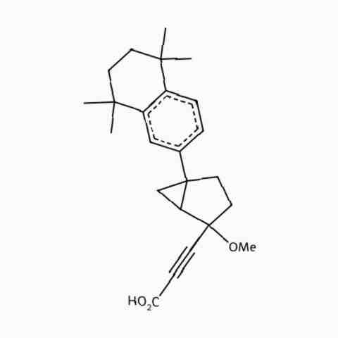 COC1(C#CC(=O)O)CCC2(c3ccc4c(c3)C(C)(C)CCC4(C)C)CC12